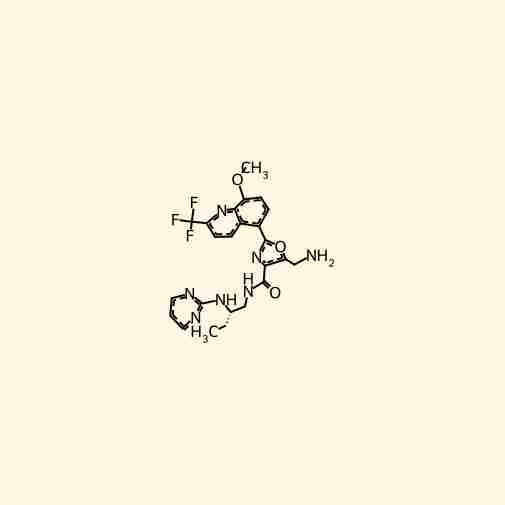 CC[C@@H](CNC(=O)c1nc(-c2ccc(OC)c3nc(C(F)(F)F)ccc23)oc1CN)Nc1ncccn1